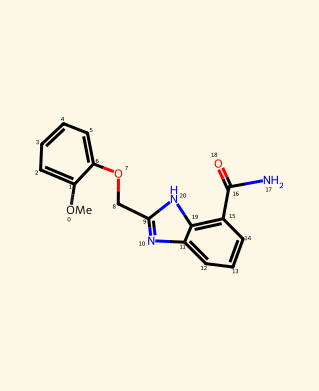 COc1ccccc1OCc1nc2cccc(C(N)=O)c2[nH]1